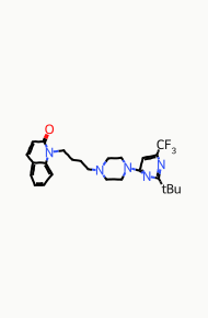 CC(C)(C)c1nc(N2CCN(CCCCn3c(=O)ccc4ccccc43)CC2)cc(C(F)(F)F)n1